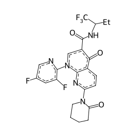 CCC(NC(=O)c1cn(-c2ncc(F)cc2F)c2nc(N3CCCCC3=O)ccc2c1=O)C(F)(F)F